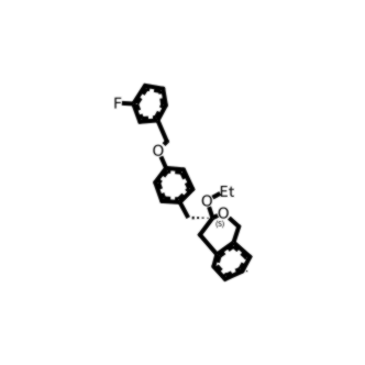 CCO[C@]1(Cc2ccc(OCc3cccc(F)c3)cc2)Cc2cc[c]cc2CO1